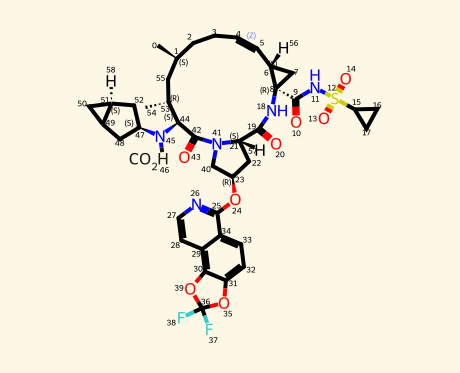 C[C@H]1CC/C=C\[C@@H]2C[C@@]2(C(=O)NS(=O)(=O)C2CC2)NC(=O)[C@@H]2C[C@@H](Oc3nccc4c5c(ccc34)OC(F)(F)O5)CN2C(=O)[C@@H](N(C(=O)O)[C@H]2CC3C[C@H]3C2)[C@H](C)C1